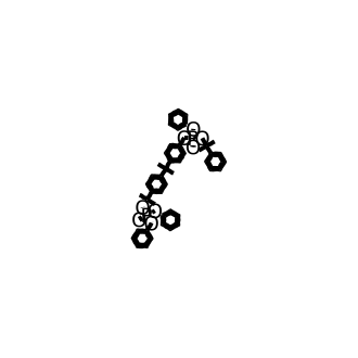 CC(C)(OP(=O)(Oc1ccccc1)Oc1ccc(C(C)(C)c2ccc(C(C)(C)OP(=O)(Oc3ccccc3)Oc3ccccc3)cc2)cc1)c1ccccc1